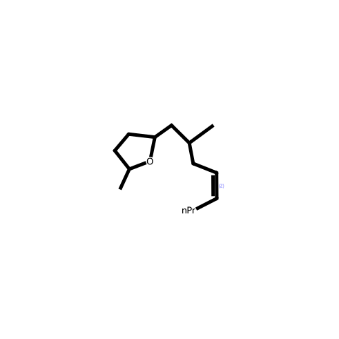 CCC/C=C\CC(C)CC1CCC(C)O1